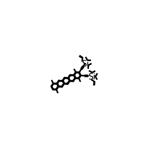 C=CC[Si](C#Cc1c(C#C[Si](CC=C)(C(C)C)C(C)C)c(C)c2cc3cc4cc5c(C)ccc(C)c5cc4cc3cc2c1C)(C(C)C)C(C)C